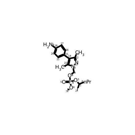 CCCC(I)OP(=O)(OI)OCn1nc(C)c(-c2ccc(N)cc2)c1C